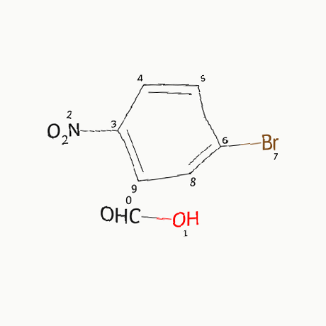 O=CO.O=[N+]([O-])c1ccc(Br)cc1